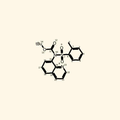 Cc1ccccc1S(=O)(=O)N(C(=O)OC(C)(C)C)c1cccc2cccnc12